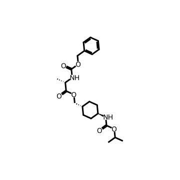 CC(C)OC(=O)N[C@H]1CC[C@H](COC(=O)[C@H](C)NC(=O)OCc2ccccc2)CC1